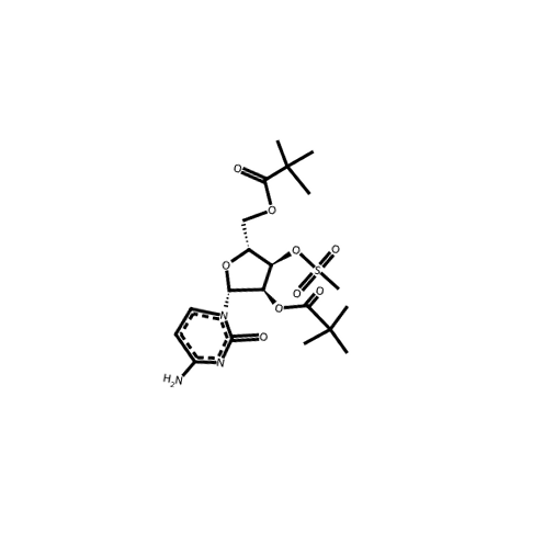 CC(C)(C)C(=O)OC[C@H]1O[C@@H](n2ccc(N)nc2=O)[C@H](OC(=O)C(C)(C)C)[C@@H]1OS(C)(=O)=O